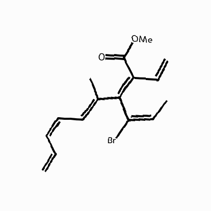 C=C\C=C/C=C(C)/C(C(/Br)=C\C)=C(/C=C)C(=O)OC